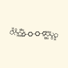 CC(C)(C)[C@H](NC(=O)[C@]1(C)CCCN1)c1nc(-c2ccc(-c3ccc(-c4c[nH]c([C@@H](NC(=O)[C@]5(C)CCCN5)C(C)(C)C)n4)cc3)cc2)c[nH]1